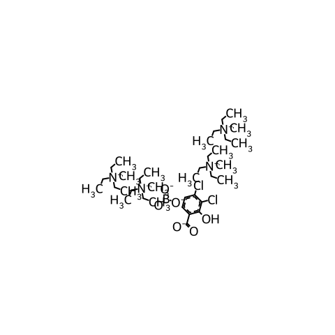 CC[N+](C)(CC)CC.CC[N+](C)(CC)CC.CC[N+](C)(CC)CC.CC[N+](C)(CC)CC.O=C([O-])c1ccc(Cl)c(Cl)c1O.[O-]B([O-])[O-]